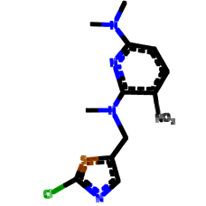 CN(C)c1ccc([N+](=O)[O-])c(N(C)Cc2cnc(Cl)s2)n1